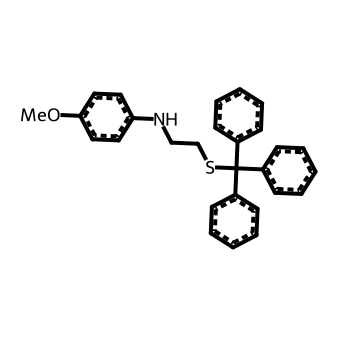 COc1ccc(NCCSC(c2ccccc2)(c2ccccc2)c2ccccc2)cc1